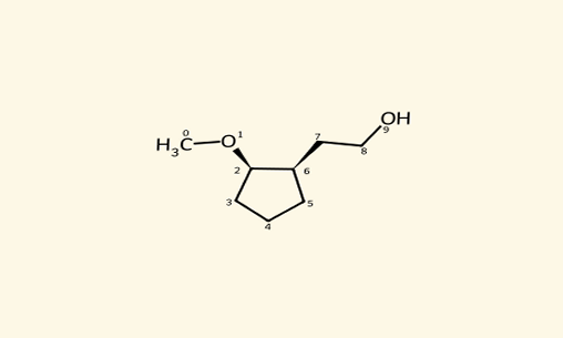 CO[C@@H]1CCC[C@@H]1CCO